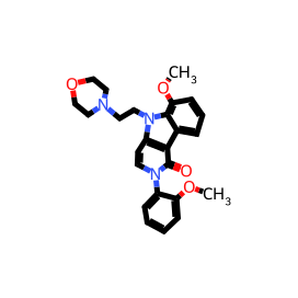 COc1ccccc1-n1ccc2c(c1=O)c1cccc(OC)c1n2CCN1CCOCC1